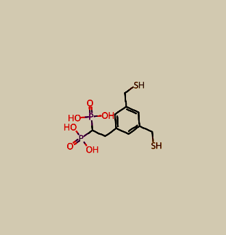 O=P(O)(O)C(Cc1cc(CS)cc(CS)c1)P(=O)(O)O